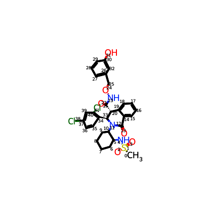 CS(=O)(=O)N[C@H]1CCCCC1N1C(=O)c2ccccc2[C@@H](C(=O)NOCc2cccc(O)c2)[C@@H]1c1ccc(Cl)cc1Cl